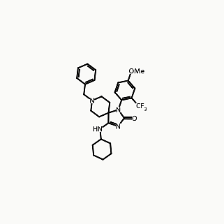 COc1ccc(N2C(=O)N=C(NC3CCCCC3)C23CCN(Cc2ccccc2)CC3)c(C(F)(F)F)c1